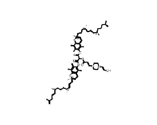 Cc1c(C)c2c(c(C)c1OC(=O)C(OC(=O)CCN1CCN(CCO)CC1)C(=O)Oc1c(C)c(C)c3c(c1C)CC[C@@](C)(CCC[C@H](C)CCC[C@H](C)CCCC(C)C)O3)CC[C@@](C)(CCC[C@H](C)CCC[C@H](C)CCCC(C)C)O2